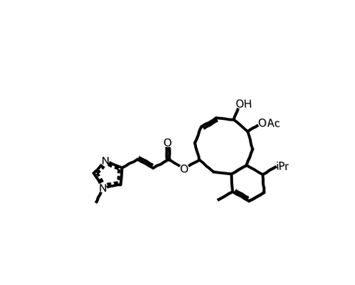 CC(=O)OC1CC2C(CC(OC(=O)C=Cc3cn(C)cn3)C/C=C\C1O)C(C)=CCC2C(C)C